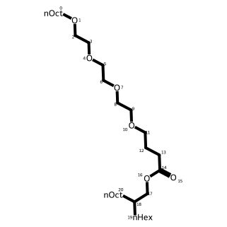 CCCCCCCCOCCOCCOCCOCCCC(=O)OCC(CCCCCC)CCCCCCCC